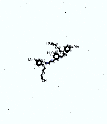 C#CCOCCN1/C(=C/C=C/C2=CC(=C/c3sc4cc(SC)ccc4[n+]3CCOCC#C)/CC(C)(C)C2)Sc2cc(SC)ccc21